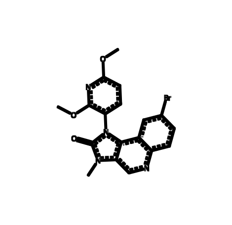 COc1ccc(-n2c(=O)n(C)c3cnc4ccc(Br)cc4c32)c(OC)n1